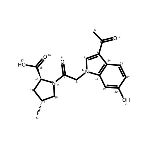 CC(=O)c1cn(CC(=O)N2C[C@H](F)C[C@H]2C(=O)O)c2cc(O)ccc12